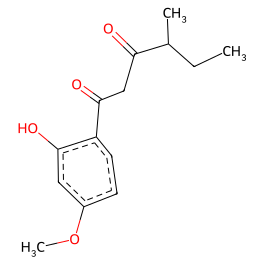 CCC(C)C(=O)CC(=O)c1ccc(OC)cc1O